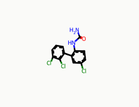 NC(=O)Nc1ccc(Cl)cc1-c1cccc(Cl)c1Cl